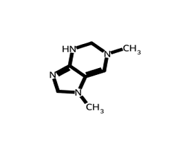 CN1C=C2C(=NCN2C)NC1